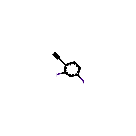 [C]#Cc1ccc(I)cc1I